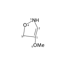 COC1=CNO[C]1